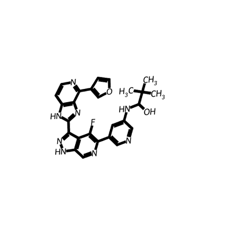 CC(C)(C)C(O)Nc1cncc(-c2ncc3[nH]nc(-c4nc5c(-c6ccoc6)nccc5[nH]4)c3c2F)c1